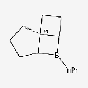 CCCB1C2CCC[C@@]23CCC13